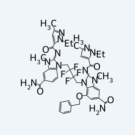 CCn1nc(C)cc1C(=O)/N=c1\n(C)c2cc(C(N)=O)ccc2n1CC(F)(F)C(F)(F)Cn1/c(=N/C(=O)c2cc(C)nn2CC)n(C)c2cc(C(N)=O)cc(OCc3ccccc3)c21